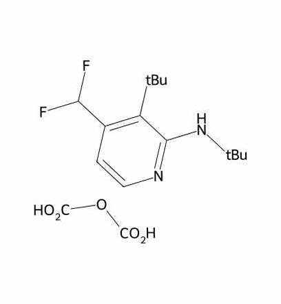 CC(C)(C)Nc1nccc(C(F)F)c1C(C)(C)C.O=C(O)OC(=O)O